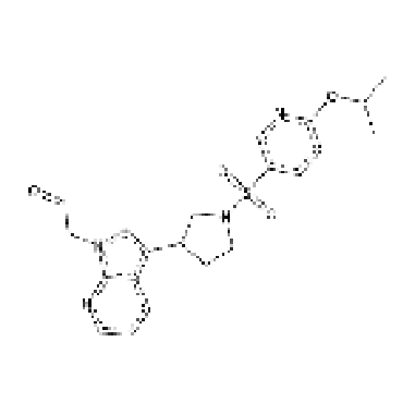 CC(C)Oc1ccc(S(=O)(=O)N2CCC(c3cn(CC=O)c4ncccc34)C2)cn1